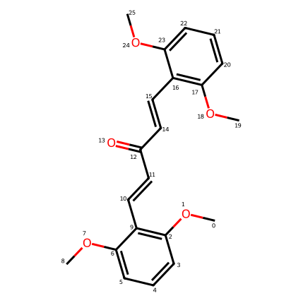 COc1cccc(OC)c1C=CC(=O)C=Cc1c(OC)cccc1OC